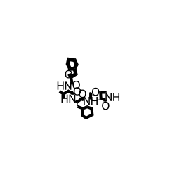 CC(C)[C@H](NC(=O)c1cc2ccccc2o1)C(=O)N[C@@H](CC1CCCCC1)C(=O)N[C@H](C=O)C[C@@H]1CCNC1=O